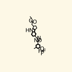 CCOC(=O)CC1CCc2c1[nH]c1ccc(-c3noc(-c4cc(C)cc(OC(F)(F)F)c4)n3)cc21